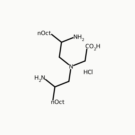 CCCCCCCCC(N)CN(CC(=O)O)CC(N)CCCCCCCC.Cl